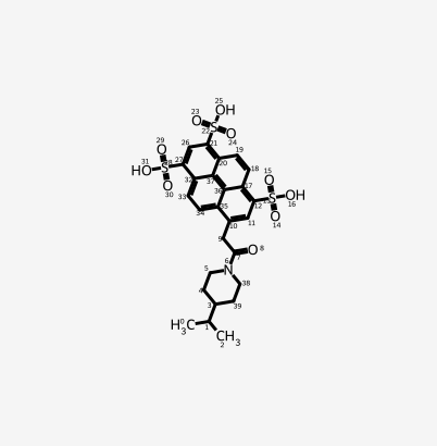 CC(C)C1CCN(C(=O)Cc2cc(S(=O)(=O)O)c3ccc4c(S(=O)(=O)O)cc(S(=O)(=O)O)c5ccc2c3c54)CC1